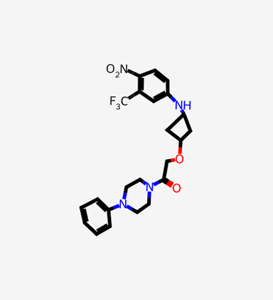 O=C(COC1CC(Nc2ccc([N+](=O)[O-])c(C(F)(F)F)c2)C1)N1CCN(c2ccccc2)CC1